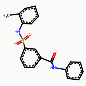 Cc1ccccc1NS(=O)(=O)c1cccc(C(=O)Nc2ccccc2)c1